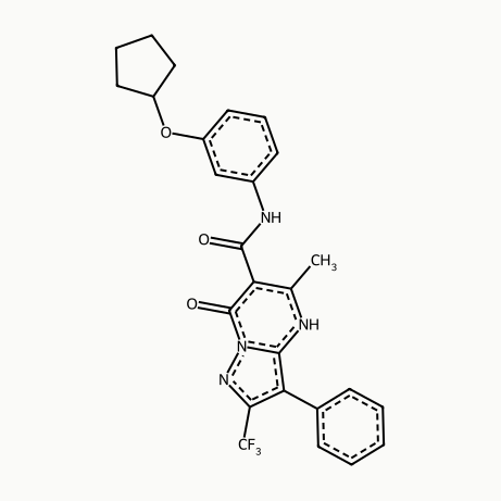 Cc1[nH]c2c(-c3ccccc3)c(C(F)(F)F)nn2c(=O)c1C(=O)Nc1cccc(OC2CCCC2)c1